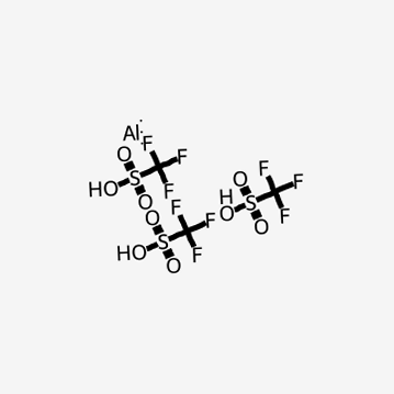 O=S(=O)(O)C(F)(F)F.O=S(=O)(O)C(F)(F)F.O=S(=O)(O)C(F)(F)F.[Al]